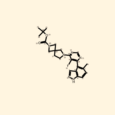 Cc1ccc2[nH]ncc2c1-c1ncnc(N2CCC3(CN(C(=O)OC(C)(C)C)C3)C2)c1F